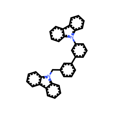 c1cc(Cn2c3ccccc3c3ccccc32)cc(-c2cccc(-n3c4ccccc4c4ccccc43)c2)c1